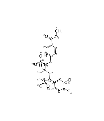 COC(=O)c1ccc(CN(C2CCS(=O)(=O)C(c3ccc(F)c(Cl)c3)C2)[SH](=O)=O)nc1